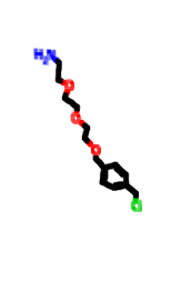 NCCOCCOCCOCc1ccc(CCl)cc1